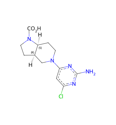 Nc1nc(Cl)cc(N2CC[C@H]3[C@H](CCN3C(=O)O)C2)n1